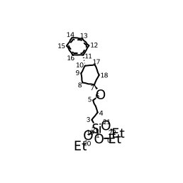 CCO[Si](CCCO[C@H]1CC[C@H](c2ccccc2)CC1)(OCC)OCC